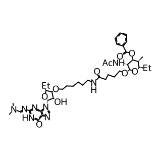 CC[C@H]1O[C@@H](n2cnc3c(=O)[nH]c(/N=C/N(C)C)nc32)[C@@H](O)C1OCCCCCCNC(=O)CCCCO[C@@H]1O[C@H](CC)[C@H](C)[C@H](OC(=O)c2ccccc2)[C@H]1NC(C)=O